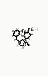 C=C[C@@]1(c2ccc(F)c(F)c2)CN(Cc2ccccc2)CCO1.Cl